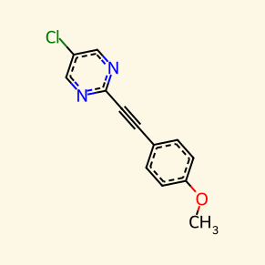 COc1ccc(C#Cc2ncc(Cl)cn2)cc1